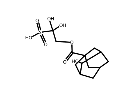 O=C(OCC(O)(O)S(=O)(=O)O)C12CC3CC(C1)C(O)C(C3)C2